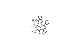 Cc1cc(-c2ccccc2)c(C)c(C)c1C.Cc1ccc(-c2ccccc2)c(C)c1C